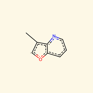 Cc1[c]oc2cccnc12